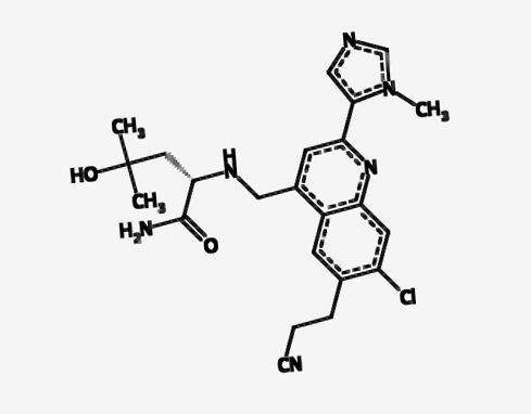 Cn1cncc1-c1cc(CN[C@@H](CC(C)(C)O)C(N)=O)c2cc(CCC#N)c(Cl)cc2n1